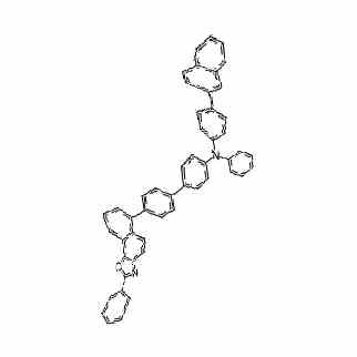 c1ccc(-c2nc3ccc4c(-c5ccc(-c6ccc(N(c7ccccc7)c7ccc(-c8ccc9ccccc9c8)cc7)cc6)cc5)cccc4c3o2)cc1